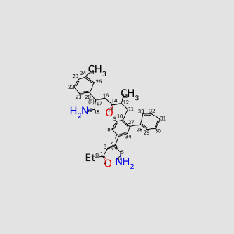 CCC(=O)C[C@H](CN)c1ccc(CC(C)C(=O)C[C@@H](CN)c2cccc(C)c2)c(-c2ccccc2)c1